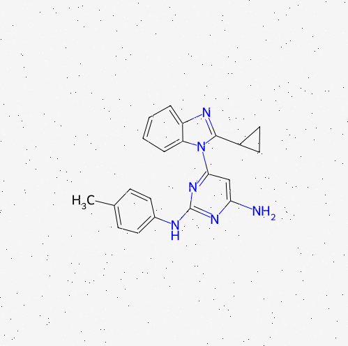 Cc1ccc(Nc2nc(N)cc(-n3c(C4CC4)nc4ccccc43)n2)cc1